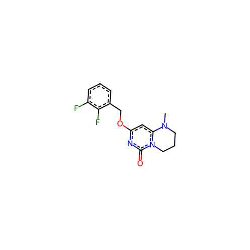 CN1CCCn2c1cc(OCc1cccc(F)c1F)nc2=O